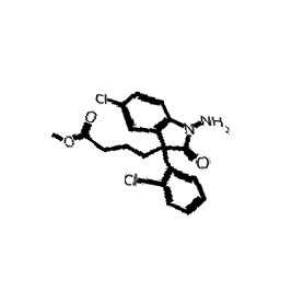 COC(=O)CCCC1(c2ccccc2Cl)C(=O)N(N)c2ccc(Cl)cc21